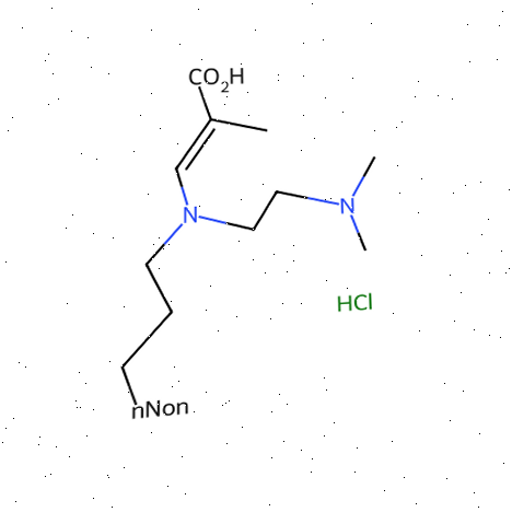 CCCCCCCCCCCCN(C=C(C)C(=O)O)CCN(C)C.Cl